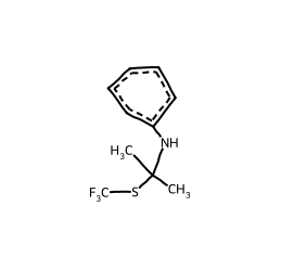 CC(C)(Nc1ccccc1)SC(F)(F)F